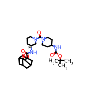 CC(C)(C)OC(=O)NC1CCN(C(=O)N2CCC[C@H](NC(=O)C34CC5CC(C3)C(O)C(C5)C4)C2)CC1